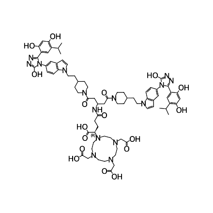 CC(C)c1cc(-c2nnc(O)n2-c2ccc3c(ccn3CCC3CCN(C(=O)CC(CC(=O)N4CCC(CCn5ccc6cc(-n7c(O)nnc7-c7cc(C(C)C)c(O)cc7O)ccc65)CC4)NC(=O)CC[C@H](C(=O)O)N4CCN(CC(=O)O)CCN(CC(=O)O)CCN(CC(=O)O)CC4)CC3)c2)c(O)cc1O